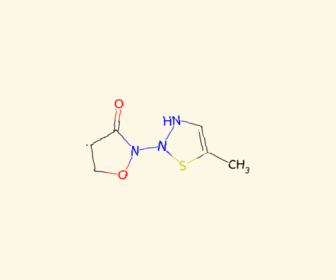 CC1=CNN(N2OC[CH]C2=O)S1